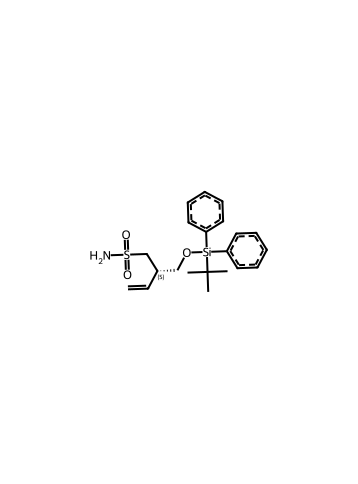 C=C[C@@H](CO[Si](c1ccccc1)(c1ccccc1)C(C)(C)C)CS(N)(=O)=O